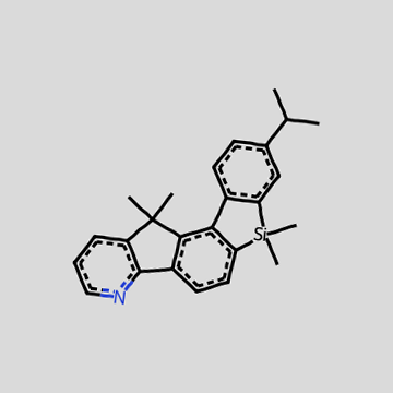 CC(C)c1ccc2c(c1)[Si](C)(C)c1ccc3c(c1-2)C(C)(C)c1cccnc1-3